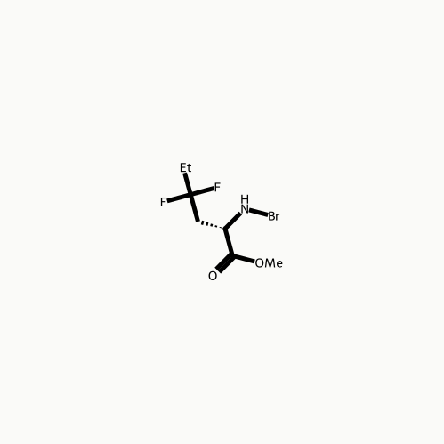 CCC(F)(F)C[C@H](NBr)C(=O)OC